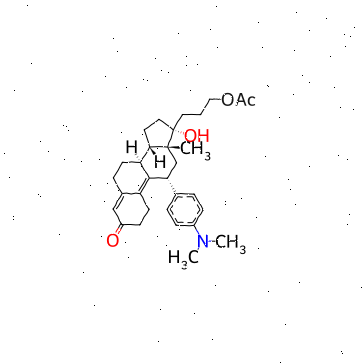 CC(=O)OCCC[C@]1(O)CC[C@H]2[C@@H]3CCC4=CC(=O)CCC4=C3[C@@H](c3ccc(N(C)C)cc3)C[C@]21C